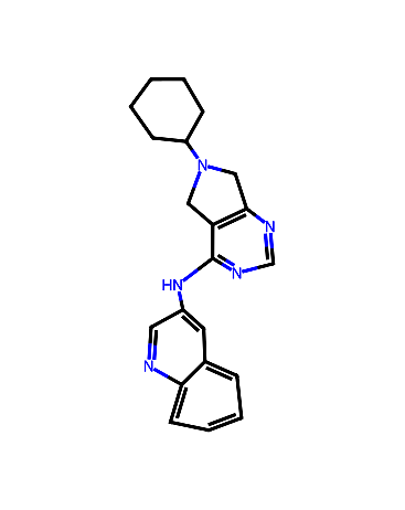 c1ccc2ncc(Nc3ncnc4c3CN(C3CCCCC3)C4)cc2c1